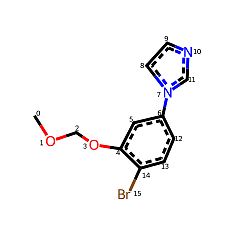 COCOc1cc(-n2ccnc2)ccc1Br